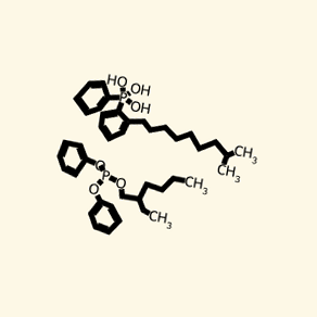 CC(C)CCCCCCCc1ccccc1P(O)(O)(O)c1ccccc1.CCCCC(CC)COP(Oc1ccccc1)Oc1ccccc1